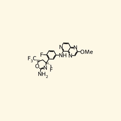 COc1cnc2c(Nc3ccc(F)c([C@]4(CF)C[C@@H](C(F)(F)F)OC(N)=N4)c3)nccc2n1